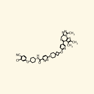 Cc1sc2c(c1C)C(c1ccc(OC3CC4(CCN(c5ccc(C(=O)N[C@H]6CC[C@H](Oc7ccc(C#N)c(Cl)c7)CC6)nn5)CC4)C3)nc1)=NCc1nnc(C)n1-2